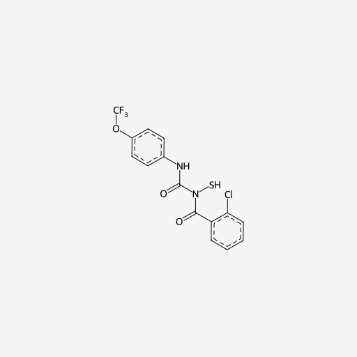 O=C(Nc1ccc(OC(F)(F)F)cc1)N(S)C(=O)c1ccccc1Cl